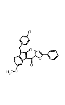 COc1ccc2c(c1)c(C(=O)c1ncc(-c3ccccc3)o1)c(Cl)n2Cc1ccc(Cl)cc1